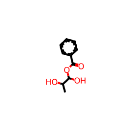 CC(O)C(O)OC(=O)c1ccccc1